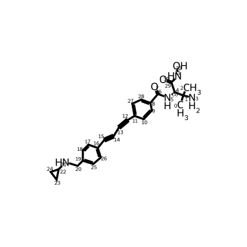 CC(C)(N)[C@H](NC(=O)c1ccc(C#CC#Cc2ccc(CNC3CC3)cc2)cc1)C(=O)NO